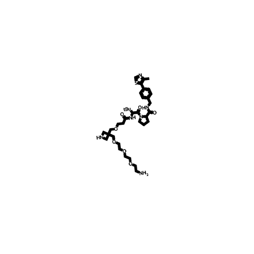 Cc1ncsc1-c1ccc(CNC(=O)C2CCCN2C(=O)C(NC(=O)CCOCC2(COCCOCCOCCN)CNC2)C(C)(C)C)cc1